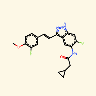 COc1ccc(C=Cc2n[nH]c3cc(F)c(NC(=O)CC4CC4)cc23)cc1F